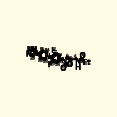 CCC(=O)NC[C@H]1CN(c2cc(F)c(N3CCC(n4cnnn4)CC3)c(F)c2)C(=O)O1